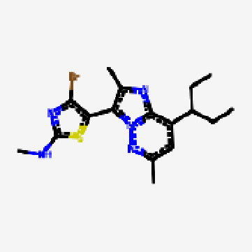 CCC(CC)c1cc(C)nn2c(-c3sc(NC)nc3Br)c(C)nc12